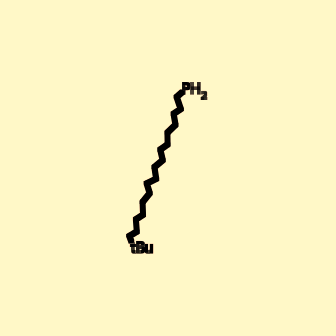 CC(C)(C)CCCCCCCCCCCCCCCCCP